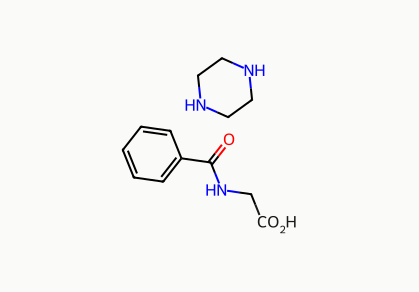 C1CNCCN1.O=C(O)CNC(=O)c1ccccc1